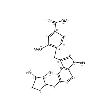 CCCN1CCC(Cc2ccc3c(c2)c(Cc2ccc(C(=O)OC)cc2OC)cn3CCC)C1S